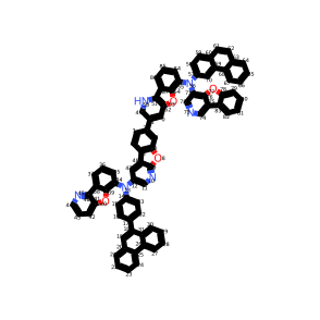 C1=C(c2ccc3c(c2)oc2ncc(N(c4ccc(-c5cc6ccccc6c6ccccc56)cc4)c4cccc5c4oc4cccnc45)cc23)CNc2c1oc1c(N(c3ccc4ccc5ccccc5c4c3)c3cncc4c3oc3ccccc34)cccc21